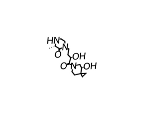 C[C@@H]1NCCN(CC[C@@H](O)C(=O)N2CCC3(CC3)[C@H](O)C2)C1=O